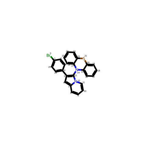 Brc1ccc(-c2cc3ccccn3c2N2c3ccccc3Sc3ccccc32)cc1